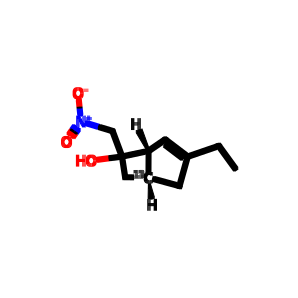 CCC1=C[C@@H]2[13C@H](C1)CC2(O)C[N+](=O)[O-]